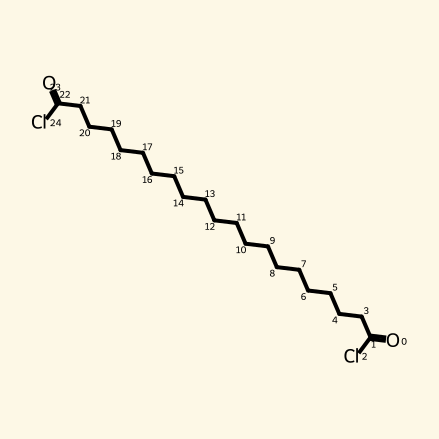 O=C(Cl)CCCCCCCCCCCCCCCCCCCC(=O)Cl